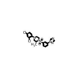 C[C@@H]1CN(c2ccc(Cl)cc2Cl)CCN1S(=O)(=O)c1cccc(-n2cncn2)c1